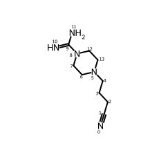 N#CCCCN1CCN(C(=N)N)CC1